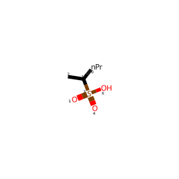 C[CH]CC(C)S(=O)(=O)O